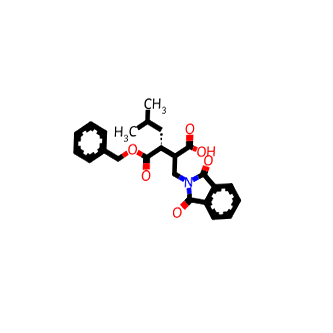 CC(C)C[C@@H](C(=O)OCc1ccccc1)C(CN1C(=O)c2ccccc2C1=O)C(=O)O